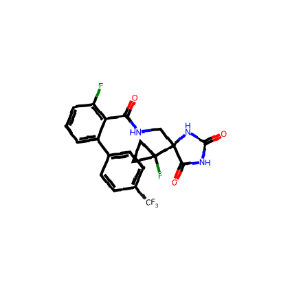 O=C1NC(=O)C(CNC(=O)c2c(F)cccc2-c2ccc(C(F)(F)F)cc2)(C2(F)CC2)N1